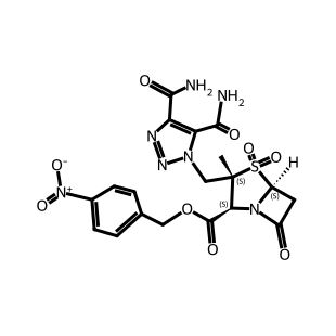 C[C@]1(Cn2nnc(C(N)=O)c2C(N)=O)[C@H](C(=O)OCc2ccc([N+](=O)[O-])cc2)N2C(=O)C[C@@H]2S1(=O)=O